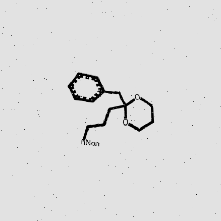 CCCCCCCCCCCCC1(Cc2ccccc2)OCCCO1